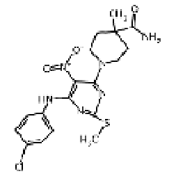 CSc1nc(Nc2ccc(Cl)cc2)c([N+](=O)[O-])c(N2CCC(C)(C(N)=O)CC2)n1